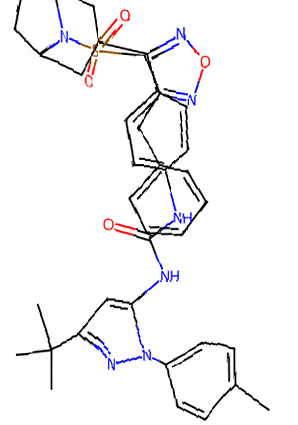 Cc1ccc(-n2nc(C(C)(C)C)cc2NC(=O)Nc2ccc(CC3CC4CCC(C3)N4S(=O)(=O)c3nonc3Cc3ccccc3)cc2)cc1